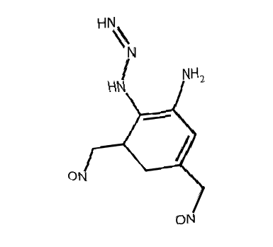 N=NNC1=C(N)C=C(CN=O)CC1CN=O